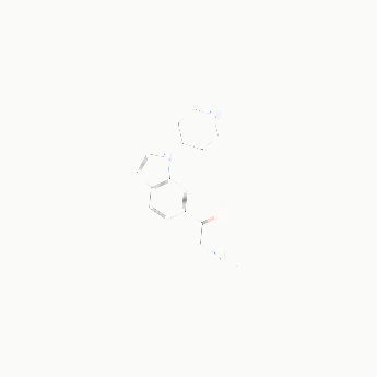 NCC(=O)c1ccc2ccn(C3CCNCC3)c2c1